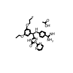 CC(=O)O.CCOc1cc(OCCF)cc(C(Nc2ccc(C(=N)N)cc2)c2nn(-c3ncccn3)c(=O)[nH]2)c1